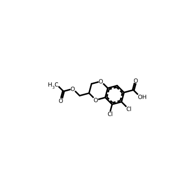 CC(=O)OCC1COc2cc(C(=O)O)c(Cl)c(Cl)c2O1